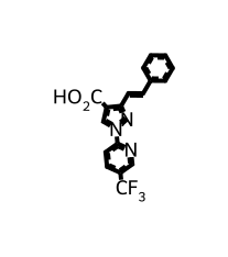 O=C(O)c1cn(-c2ccc(C(F)(F)F)cn2)nc1C=Cc1ccccc1